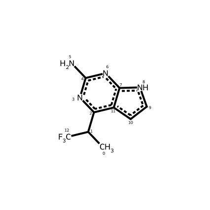 CC(c1nc(N)nc2[nH]ccc12)C(F)(F)F